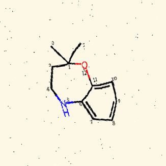 CC1(C)CCNc2ccccc2O1